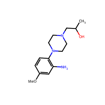 COc1ccc(N2CCN(CC(C)O)CC2)c(N)c1